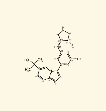 CC(C)(C)c1cn2c(-c3cc(F)cc(N[C@H]4CNC[C@@H]4F)n3)cnc2cn1